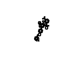 CC(=O)Oc1cc(-c2ccc(OCc3cccnc3)cc2)oc(=O)c1Sc1ccccc1C(C)C